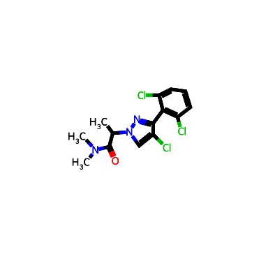 CC(C(=O)N(C)C)n1cc(Cl)c(-c2c(Cl)cccc2Cl)n1